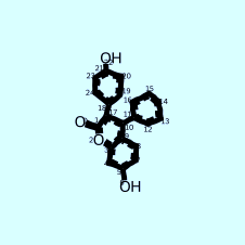 O=c1oc2cc(O)ccc2c(-c2ccccc2)c1-c1ccc(O)cc1